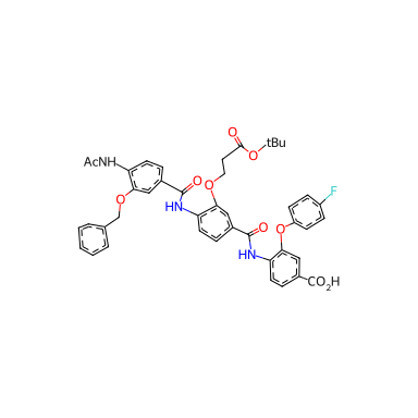 CC(=O)Nc1ccc(C(=O)Nc2ccc(C(=O)Nc3ccc(C(=O)O)cc3Oc3ccc(F)cc3)cc2OCCC(=O)OC(C)(C)C)cc1OCc1ccccc1